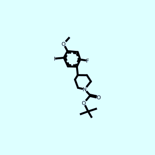 COc1cc(F)c(C2CCN(C(=O)OC(C)(C)C)CC2)cc1I